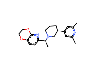 Cc1cc([C@@H]2CCCN([C@@H](C)c3ccc4c(n3)OCCO4)C2)cc(C)n1